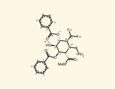 CNC(=O)[C@@H]1[C@@H](OC(=O)c2ccccc2)[C@@H](O)[C@H](OC(=O)c2ccccc2)[C@@H](C(F)F)N1CP